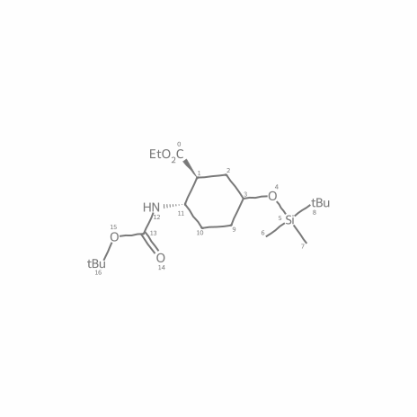 CCOC(=O)[C@H]1CC(O[Si](C)(C)C(C)(C)C)CC[C@@H]1NC(=O)OC(C)(C)C